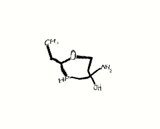 CCC1OCC(N)(O)CP1